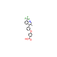 Cc1cnc2c(C(F)(F)F)cccc2c1-c1cccc(Oc2ccc(C(=O)O)cc2)c1